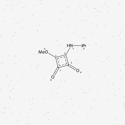 COc1c(NC(C)C)c(=O)c1=O